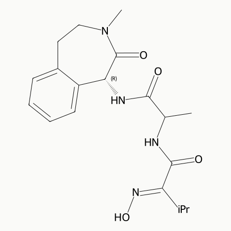 CC(C)C(=NO)C(=O)NC(C)C(=O)N[C@H]1C(=O)N(C)CCc2ccccc21